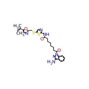 C/C=C(/C)c1cnc(CSc2cnc(NC(=O)CCCCCCC(=O)n3nc(N)c4ccccc43)s2)o1